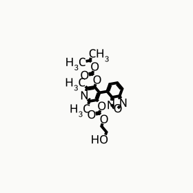 Cc1nc(C)c(OC(=O)OC(C)C)c(-c2cccc3nonc23)c1OC(=O)OCCO